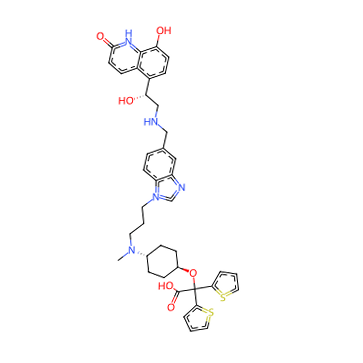 CN(CCCn1cnc2cc(CNC[C@H](O)c3ccc(O)c4[nH]c(=O)ccc34)ccc21)[C@H]1CC[C@H](OC(C(=O)O)(c2cccs2)c2cccs2)CC1